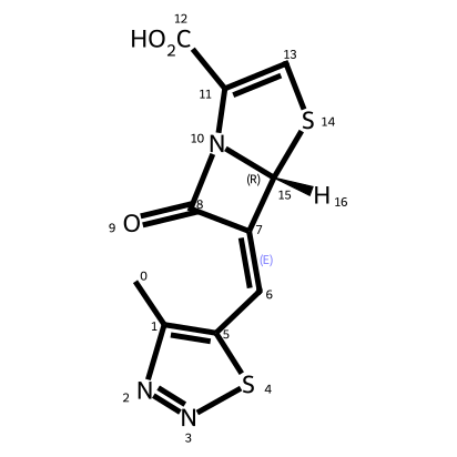 Cc1nnsc1/C=C1\C(=O)N2C(C(=O)O)=CS[C@H]12